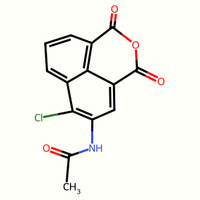 CC(=O)Nc1cc2c3c(cccc3c1Cl)C(=O)OC2=O